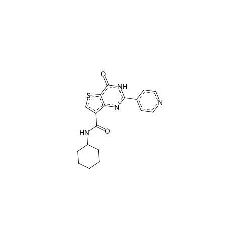 O=C(NC1CCCCC1)c1csc2c(=O)[nH]c(-c3ccncc3)nc12